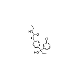 CCNC(=O)Oc1ccc(C(O)(CC)c2cccc(Cl)c2)cc1